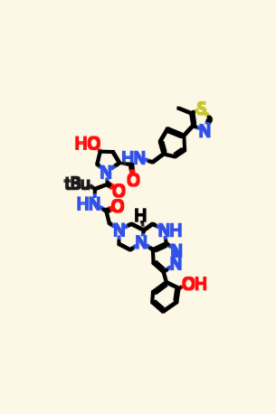 Cc1scnc1-c1ccc(CNC(=O)[C@@H]2C[C@@H](O)CN2C(=O)[C@@H](NC(=O)CN2CCN3c4cc(-c5ccccc5O)nnc4NC[C@@H]3C2)C(C)(C)C)cc1